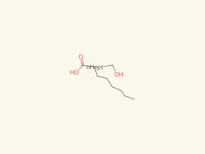 CCCCCCCC(=O)O.CCCCCCCCO